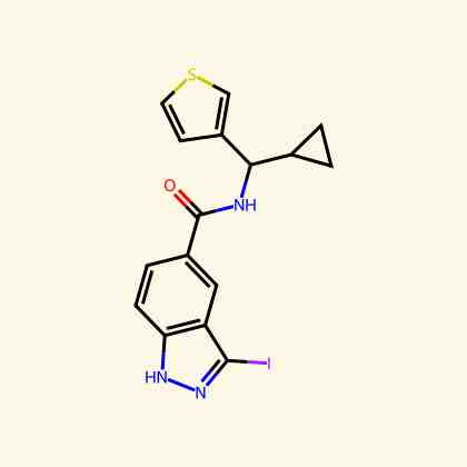 O=C(NC(c1ccsc1)C1CC1)c1ccc2[nH]nc(I)c2c1